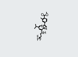 COC(=O)c1ccc(-c2cnc3c(NCCC(F)(F)F)cc(C(C)C)cn23)cc1C